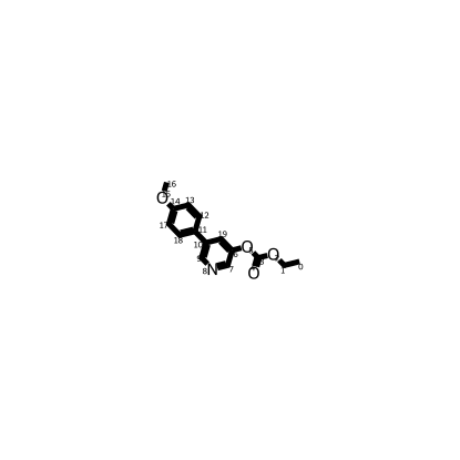 CCOC(=O)Oc1cncc(-c2ccc(OC)cc2)c1